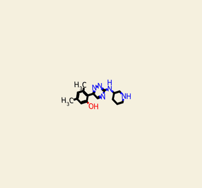 Cc1cc(C)c(-c2cnc(NC3CCCNC3)nn2)c(O)c1